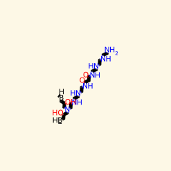 CBCC(O)CN(CCNCCNCCNC(=O)CC(=O)NCCNCCNCCN)CC(O)CBC